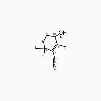 CC1=C(C#N)C(C)(C)CCC1O